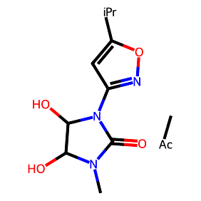 CC(C)=O.CC(C)c1cc(N2C(=O)N(C)C(O)C2O)no1